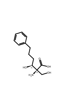 N[C@](CO)(C(=O)O)[C@@H](O)CCCc1ccccc1